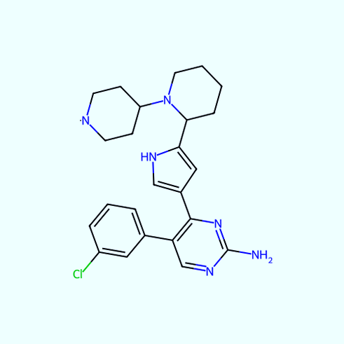 Nc1ncc(-c2cccc(Cl)c2)c(-c2c[nH]c(C3CCCCN3C3CC[N]CC3)c2)n1